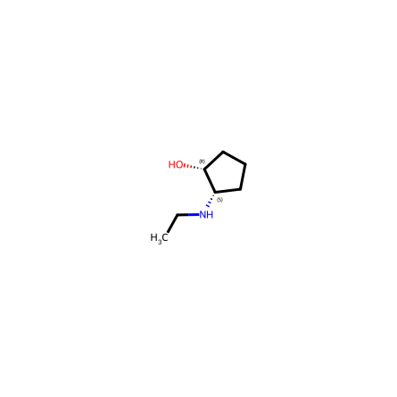 CCN[C@H]1CCC[C@H]1O